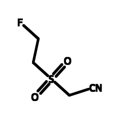 N#CCS(=O)(=O)CCF